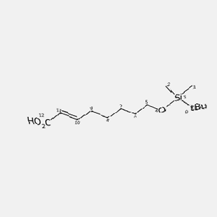 CC(C)(C)[Si](C)(C)OCCCCCC=CC(=O)O